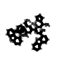 C=C(/C=C\C(C)CC(=C\C=C/C)/C(=N/C(=N)c1cccc2c1oc1ccccc12)N(C)C[C@H](C)C1C=CC=C1)NC1=CC=CC2Oc3cccc(-c4ccccc4)c3C12